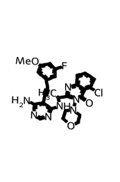 COc1cc(F)cc(C#Cc2c(N)ncnc2NC(C)c2nc3cccc(Cl)c3c(=O)n2N2CCOCC2)c1